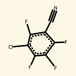 N#Cc1c(F)c(F)c(F)c(Cl)c1F